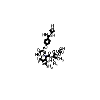 CC1(C)[C@H](NC(=O)/C(=N\O[C@@H](COc2ccc(C(=N)NC3CNC3)cc2)C(=O)O)c2nc(N)sc2C(F)(F)F)C(=O)N1OS(=O)(=O)O